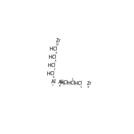 Cl.Cl.Cl.Cl.Cl.Cl.Cl.[Al].[Al].[Zr].[Zr]